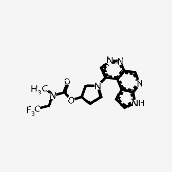 CN(CC(F)(F)F)C(=O)OC1CCN(c2cnnc3cnc4[nH]ccc4c23)C1